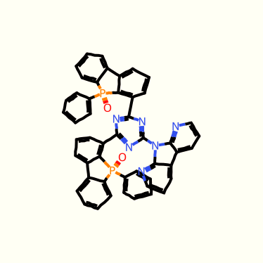 O=P1(c2ccccc2)c2ccccc2-c2cccc(-c3nc(-c4cccc5c4P(=O)(c4ccccc4)c4ccccc4-5)nc(-n4c5ncccc5c5cccnc54)n3)c21